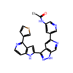 CCC(=O)Nc1cncc(-c2cc3c(-c4cc5c(-c6ccsc6)nccc5[nH]4)n[nH]c3cn2)c1